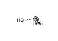 CC(C)(C)OC(=O)N1CCN=C1NCCCCCCCCO